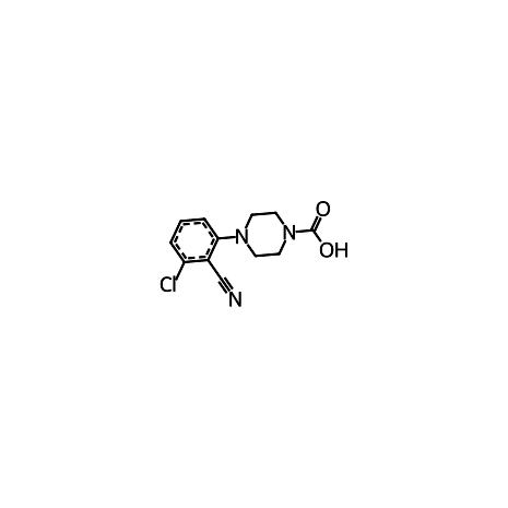 N#Cc1c(Cl)cccc1N1CCN(C(=O)O)CC1